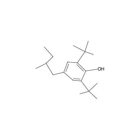 CC[C](C)Cc1cc(C(C)(C)C)c(O)c(C(C)(C)C)c1